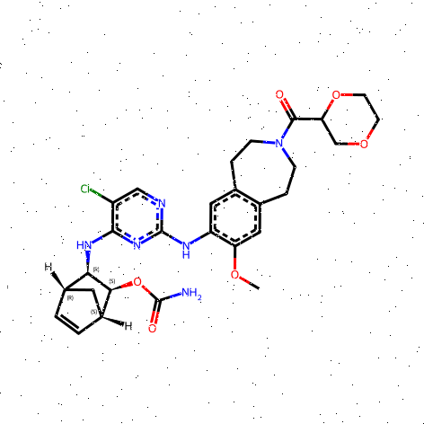 COc1cc2c(cc1Nc1ncc(Cl)c(N[C@H]3[C@@H](OC(N)=O)[C@@H]4C=C[C@H]3C4)n1)CCN(C(=O)C1COCCO1)CC2